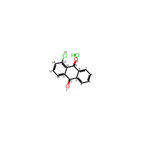 Cl.O=C1c2ccccc2C(=O)c2c(Cl)cccc21